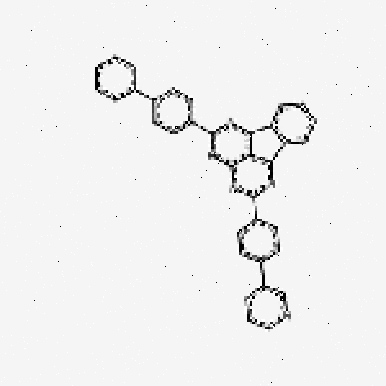 c1ccc(-c2ccc(-c3nc4c5c(nc(-c6ccc(-c7cccnc7)cc6)nc5n3)-c3ccccc3-4)cc2)cc1